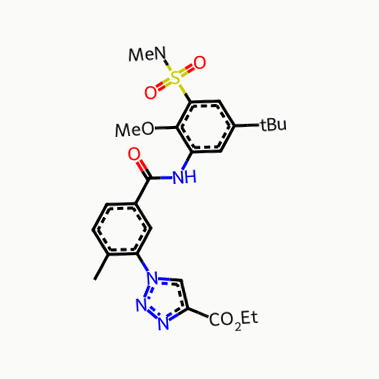 CCOC(=O)c1cn(-c2cc(C(=O)Nc3cc(C(C)(C)C)cc(S(=O)(=O)NC)c3OC)ccc2C)nn1